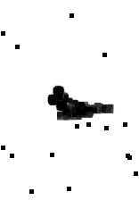 CCCCCCCCCCC(O)CN(CCCCCCOC(c1ccccc1)(c1ccccc1)c1ccccc1)CC(O)CCCCCCCCCC